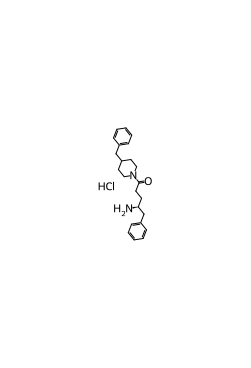 Cl.N[C@@H](CCC(=O)N1CCC(Cc2ccccc2)CC1)Cc1ccccc1